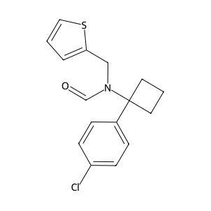 O=CN(Cc1cccs1)C1(c2ccc(Cl)cc2)CCC1